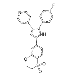 O=S1(=O)CCOc2cc(-c3cc(-c4ccncc4)c(-c4ccc(F)cc4)[nH]3)ccc21